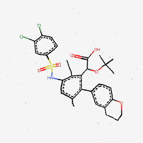 Cc1cc(NS(=O)(=O)c2ccc(Cl)c(Cl)c2)c(C)c(C(OC(C)(C)C)C(=O)O)c1-c1ccc2c(c1)CCCO2